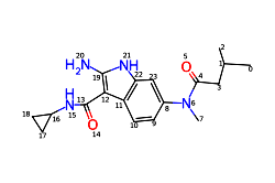 CC(C)CC(=O)N(C)c1ccc2c(C(=O)NC3CC3)c(N)[nH]c2c1